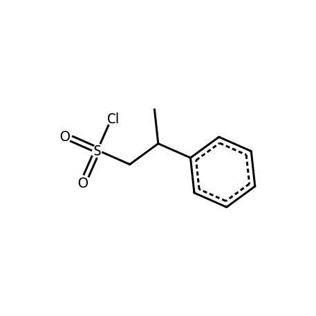 CC(CS(=O)(=O)Cl)c1ccccc1